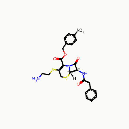 NCCSC1=C(C(=O)OCc2ccc([N+](=O)[O-])cc2)N2C(=O)[C@@H](NC(=O)Cc3ccccc3)[C@@H]2SC1